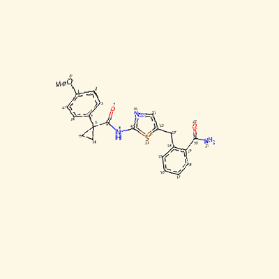 COc1ccc(C2(C(=O)Nc3ncc(Cc4ccccc4C(N)=O)s3)CC2)cc1